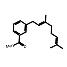 COC(=O)c1cccc(C/C=C(\C)CCC=C(C)C)c1